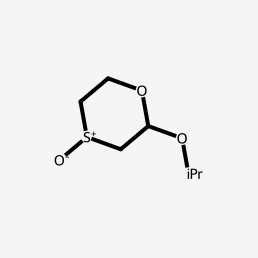 CC(C)OC1C[S+]([O-])CCO1